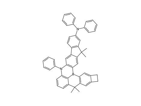 CC1(C)c2cc(N(c3ccccc3)c3ccccc3)ccc2-c2cc3c(cc21)B1c2cc4c(cc2C(C)(C)c2cccc(c21)N3c1ccccc1)CC4